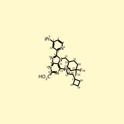 CC(C)c1ccnc(-c2nc3nc(C(=O)O)nc(NCCC4CCC4)c3n2CC2CCC(F)(F)CC2)c1